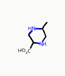 CC1CNC(C(=O)O)CN1